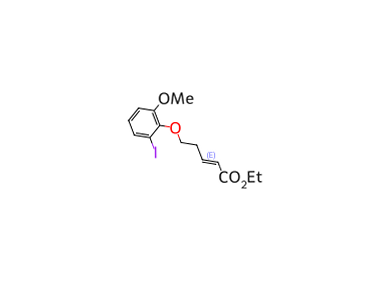 CCOC(=O)/C=C/CCOc1c(I)cccc1OC